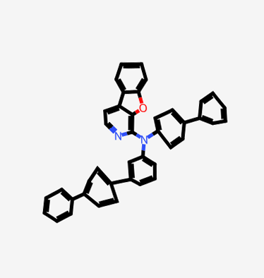 c1ccc(-c2ccc(-c3cccc(N(c4ccc(-c5ccccc5)cc4)c4nccc5c4oc4ccccc45)c3)cc2)cc1